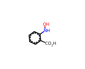 O=C(O)c1ccccc1NO